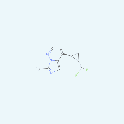 FC(F)[C@H]1C[C@@H]1c1ccnn2c(C(F)(F)F)ncc12